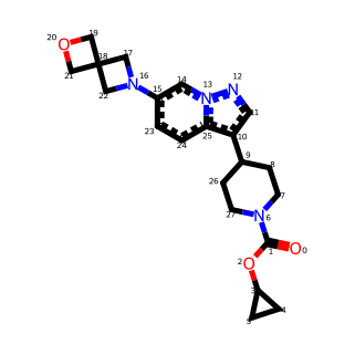 O=C(OC1CC1)N1CCC(c2cnn3cc(N4CC5(COC5)C4)ccc23)CC1